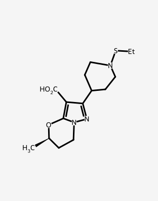 CCSN1CCC(c2nn3c(c2C(=O)O)O[C@H](C)CC3)CC1